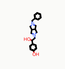 Oc1ccc(C(O)CN2CC3CN(Cc4ccccc4)CC3C2)cc1